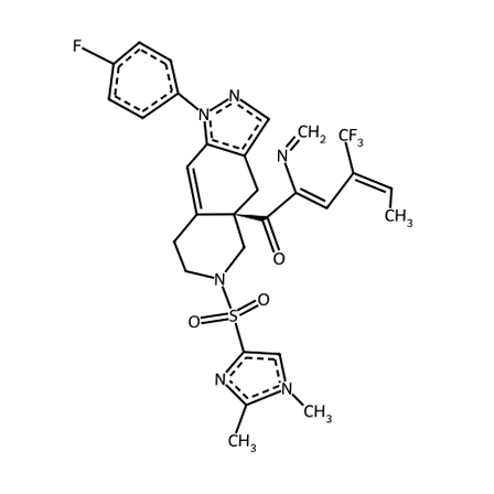 C=N/C(=C\C(=C/C)C(F)(F)F)C(=O)[C@]12Cc3cnn(-c4ccc(F)cc4)c3C=C1CCN(S(=O)(=O)c1cn(C)c(C)n1)C2